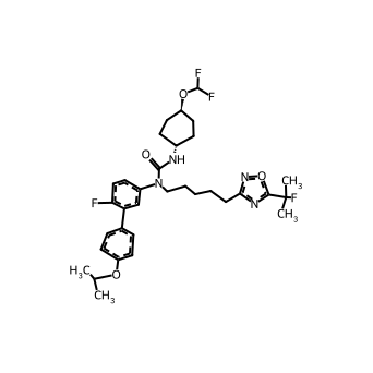 CC(C)Oc1ccc(-c2cc(N(CCCCCc3noc(C(C)(C)F)n3)C(=O)N[C@H]3CC[C@H](OC(F)F)CC3)ccc2F)cc1